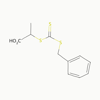 CC(SC(=S)SCc1ccccc1)C(=O)O